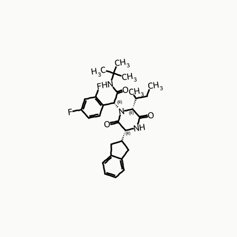 CCC(C)[C@@H]1C(=O)N[C@H](C2Cc3ccccc3C2)C(=O)N1[C@@H](C(=O)NC(C)(C)C)c1ccc(F)cc1F